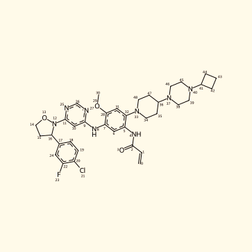 C=CC(=O)Nc1cc(Nc2cc(N3OCCC3c3ccc(Cl)c(F)c3)ncn2)c(OC)cc1N1CCC(N2CCN(C3CCC3)CC2)CC1